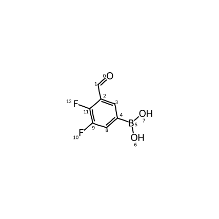 O=Cc1cc(B(O)O)cc(F)c1F